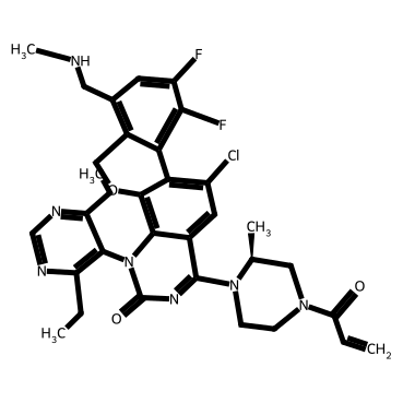 C=CC(=O)N1CCN(c2nc(=O)n(-c3c(CC)ncnc3CC)c3c4c(c(Cl)cc23)-c2c(F)c(F)cc(CNC)c2CO4)[C@@H](C)C1